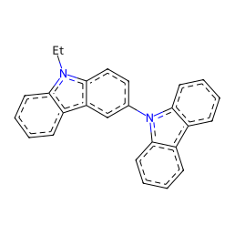 CCn1c2ccccc2c2cc(-n3c4ccccc4c4ccccc43)ccc21